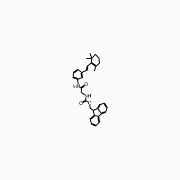 CC1=C(/C=C/c2cccc(NC(=O)CNC(=O)OCC3c4ccccc4-c4ccccc43)c2)C(C)(C)CCC1